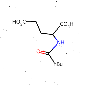 CCCCC(=O)NC(CCC(=O)O)C(=O)O